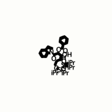 CC(C)[Si]1(C(C)C)OCC2O[C@@H](n3ccc4ccccc43)C(OC(=O)c3ccccc3)C(O)[C@@H]2O[Si](C(C)C)(C(C)C)O1